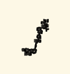 CNC(=O)c1cnn2c(C(C)C)cc(-c3cccc4cc(-c5ccc(C(=O)NCCC#Cc6cccc7c6CN(C6CCC(=O)NC6=O)C7=O)nc5)ncc34)nc12